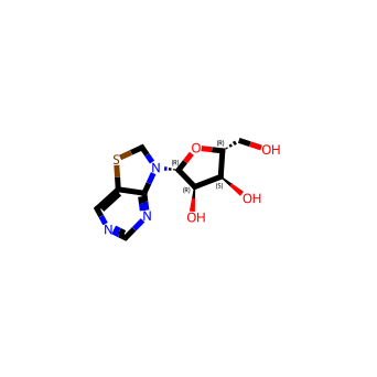 OC[C@H]1O[C@@H](N2CSc3cncnc32)[C@H](O)[C@@H]1O